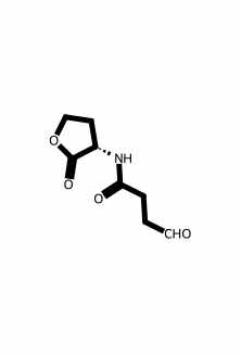 O=CCCC(=O)N[C@H]1CCOC1=O